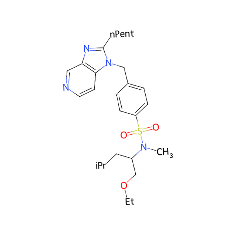 CCCCCc1nc2cnccc2n1Cc1ccc(S(=O)(=O)N(C)C(COCC)CC(C)C)cc1